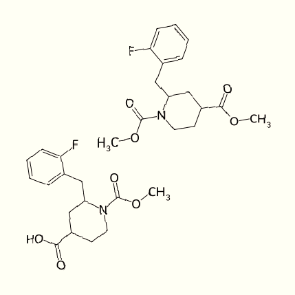 COC(=O)C1CCN(C(=O)OC)C(Cc2ccccc2F)C1.COC(=O)N1CCC(C(=O)O)CC1Cc1ccccc1F